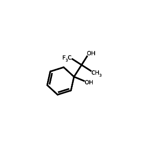 CC(O)(C(F)(F)F)C1(O)C=CC=CC1